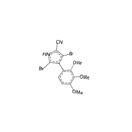 COc1ccc(-c2c(Br)[nH]c(C#N)c2Br)c(OC)c1OC